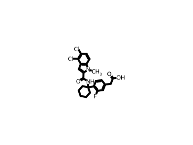 Cn1c(C(=O)NC2(c3ccc(CC(=O)O)cc3F)CCCCC2)cc2c(Cl)c(Cl)ccc21